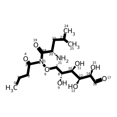 CCCC(=O)N(OC[C@@H](O)[C@@H](O)[C@H](O)[C@@H](O)C=O)C(=O)[C@@H](N)CC(C)C